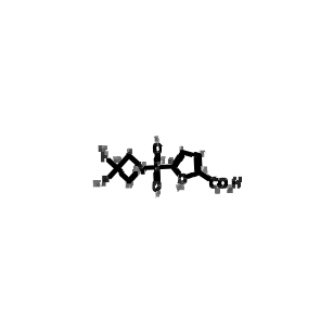 O=C(O)c1ccc(S(=O)(=O)N2CC(F)(F)C2)o1